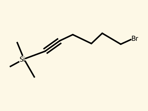 C[Si](C)(C)C#CCCCCBr